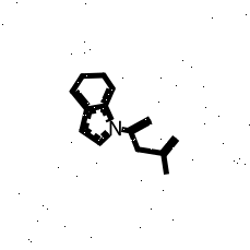 C=C(C)CC(=C)n1ccc2c1=CCCC=2